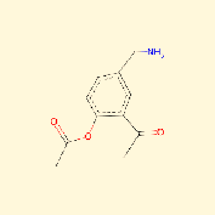 CC(=O)Oc1ccc(CN)cc1C(C)=O